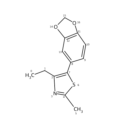 CCc1nc(C)sc1-c1ccc2c(c1)OCO2